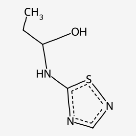 CCC(O)Nc1ncns1